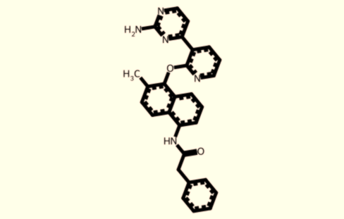 Cc1ccc2c(NC(=O)Cc3ccccc3)cccc2c1Oc1ncccc1-c1ccnc(N)n1